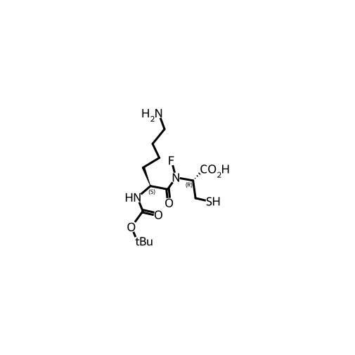 CC(C)(C)OC(=O)N[C@@H](CCCCN)C(=O)N(F)[C@@H](CS)C(=O)O